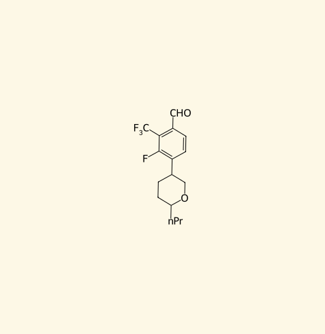 CCCC1CCC(c2ccc(C=O)c(C(F)(F)F)c2F)CO1